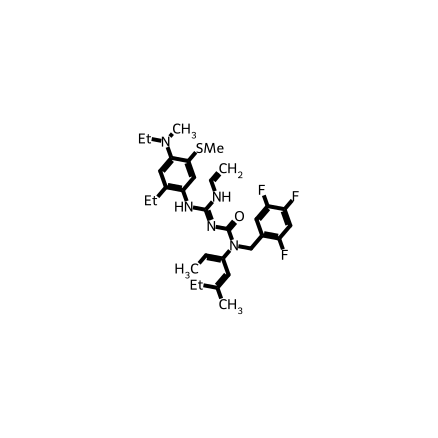 C=CN/C(=N\C(=O)N(Cc1cc(F)c(F)cc1F)C(/C=C(/C)CC)=C/C)Nc1cc(SC)c(N(C)CC)cc1CC